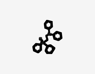 O=[As](CC[As](c1ccccc1)c1ccccc1)(c1ccccc1)c1ccccc1